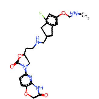 CNCOc1cc(F)c2c(c1)CC(CNCCC1CN(c3ccc4c(n3)NC(=O)CO4)C(=O)O1)C2